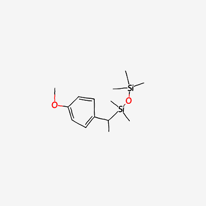 COc1ccc(C(C)[Si](C)(C)O[Si](C)(C)C)cc1